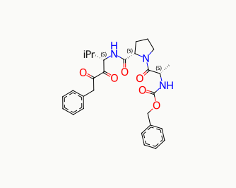 CC(C)[C@H](NC(=O)[C@@H]1CCCN1C(=O)[C@H](C)NC(=O)OCc1ccccc1)C(=O)C(=O)Cc1ccccc1